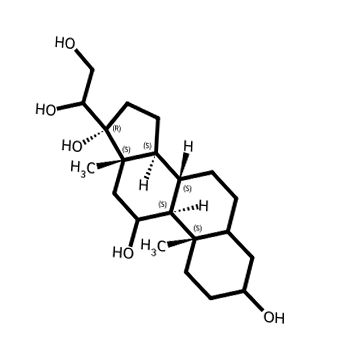 C[C@]12CCC(O)CC1CC[C@@H]1[C@@H]2C(O)C[C@@]2(C)[C@H]1CC[C@]2(O)C(O)CO